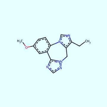 CCc1ncn2c1Cn1ncnc1-c1cc(OC)ccc1-2